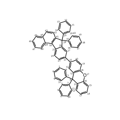 c1ccc(C2(c3ccccc3)c3ccccc3Oc3ccc(-c4ccc5c(c4)C(c4ccccc4)(c4ccccc4)c4ccc6ccccc6c4-5)cc32)cc1